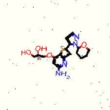 Nc1cc(OC[C@H](O)CO)c2sc(C3=C=C=NN3C3CCCCO3)cc2n1